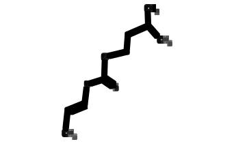 CC=CSC(=S)OCCC(C)C